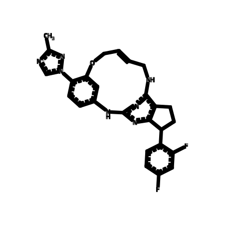 Cc1ncn(-c2ccc3cc2OC/C=C/CNc2nc(nc4c2CCC4c2ccc(F)cc2F)N3)n1